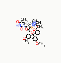 COc1ccc(C(OC[C@H]2O[C@@H](n3cc(C)c(=O)[nH]c3=O)C[C@@H]2P(OCCC#N)N(C(C)C)C(C)C)(c2ccccc2)c2ccc(OC)cc2)cc1